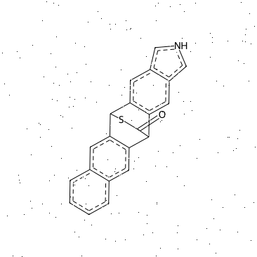 O=C1SC2c3cc4ccccc4cc3C1c1cc3c[nH]cc3cc12